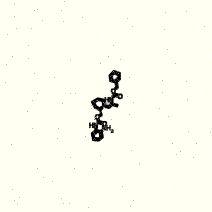 CC(CN1CCCC[C@@H]1COC(=O)Nc1ccccc1N)NC(=O)OCc1ccccc1